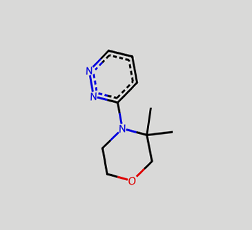 CC1(C)COCCN1c1cccnn1